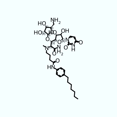 CCCCCCCc1ccc(NC(=O)CCCN(C)[C@H](C(N)=O)[C@H](O[C@@H]2O[C@H](CN)[C@@H](O)[C@H]2O)[C@H]2O[C@@H](n3ccc(=O)[nH]c3=O)C(O)C2O)cc1